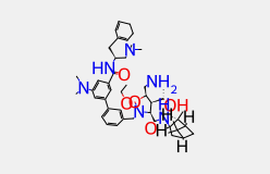 CCOc1c(CN2O[C@@H](CN)[C@@H]([C@H](C)O)[C@H]2C(=O)N[C@H]2C[C@H]3C[C@@H]([C@@H]2C)C3(C)C)cccc1-c1cc(C(=O)N[C@@H](CC2=CCCC=C2)CN(C)C)cc(N(C)C)c1